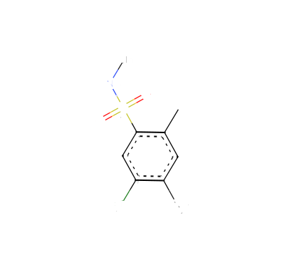 Cc1cc([N+](=O)[O-])c(Cl)cc1S(=O)(=O)NC(C)C